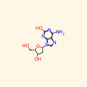 Nc1nc(O)nc2c1ncn2[C@H]1CC(O)[C@@H](CO)O1